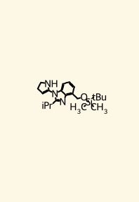 CC(C)c1nc2c(CO[Si](C)(C)C(C)(C)C)cccc2n1C1=CCCN1